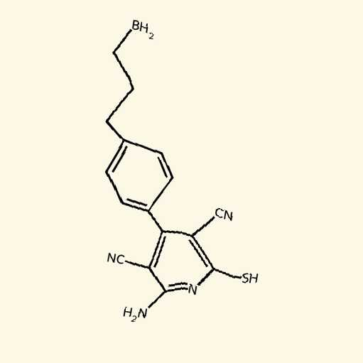 BCCCc1ccc(-c2c(C#N)c(N)nc(S)c2C#N)cc1